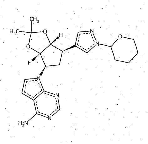 CC1(C)O[C@@H]2[C@H](O1)[C@@H](c1cnn(C3CCCCO3)c1)C[C@H]2n1ccc2c(N)ncnc21